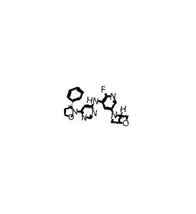 Fc1ncc(N2CC3OC[C@H]32)cc1Nc1cc(N2OCC[C@@H]2c2ccccc2)ncn1